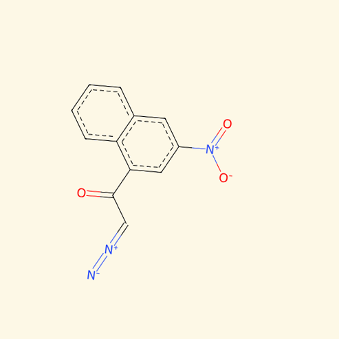 [N-]=[N+]=CC(=O)c1cc([N+](=O)[O-])cc2ccccc12